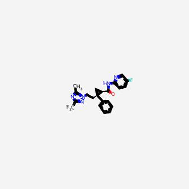 Cc1nc(C(F)(F)F)nn1CC[C@@]1(c2ccccc2)C[C@H]1C(=O)Nc1ccc(F)cn1